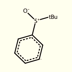 CC(C)(C)[S+]([O-])c1c[c]ccc1